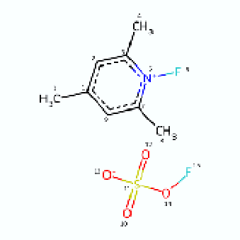 Cc1cc(C)[n+](F)c(C)c1.O=S(=O)([O-])OF